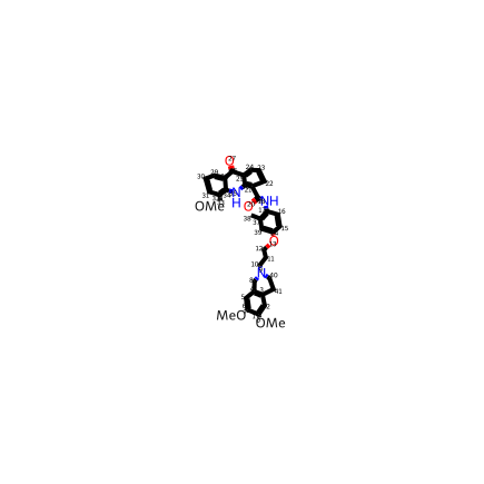 COc1cc2c(cc1OC)CN(CCCOc1ccc(NC(=O)c3cccc4c(=O)c5cccc(OC)c5[nH]c34)c(C)c1)CC2